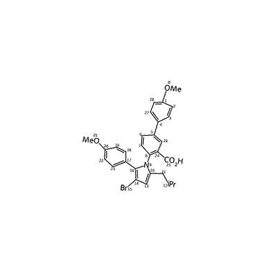 COc1ccc(-c2ccc(-n3c(CC(C)C)cc(Br)c3-c3ccc(OC)cc3)c(C(=O)O)c2)cc1